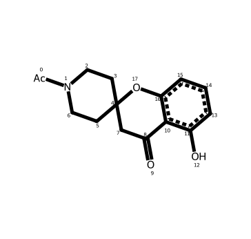 CC(=O)N1CCC2(CC1)CC(=O)c1c(O)cccc1O2